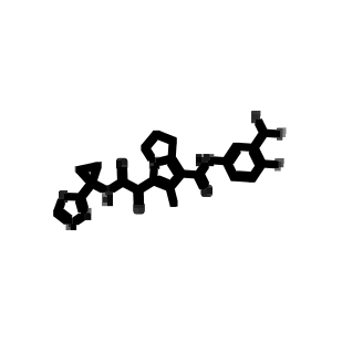 Cc1c(C(=O)Nc2ccc(F)c(C(F)F)c2)c2n(c1C(=O)C(=O)NC1(c3nncs3)CC1)CCC2